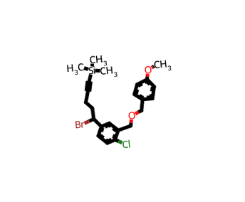 COc1ccc(COCc2cc(C(Br)CCC#C[Si](C)(C)C)ccc2Cl)cc1